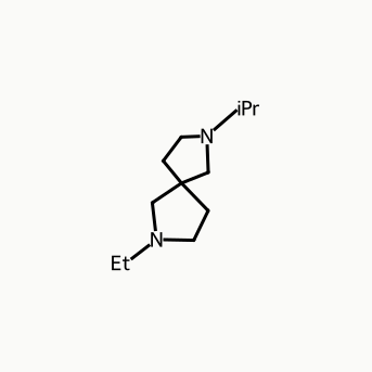 CCN1CCC2(CCN(C(C)C)C2)C1